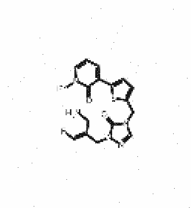 CC(C)n1cccc(-c2ccc(Cn3cnn(C/C(=C/F)CN)c3=O)s2)c1=O